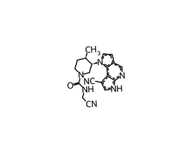 C[C@@H]1CCN(C(=O)NCC#N)C[C@@H]1n1ccc2cnc3[nH]cc(C#N)c3c21